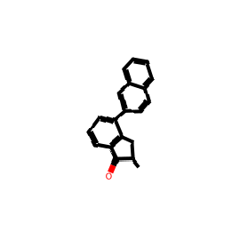 CC1Cc2c(cccc2-c2ccc3ccccc3c2)C1=O